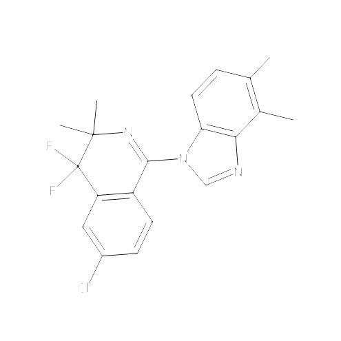 Cc1c(F)ccc2c1ncn2C1=NC(C)(C)C(F)(F)c2cc(Cl)ccc21